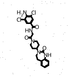 Nc1c(Cl)cc(C(=O)NCC(=O)N2CCC(N3CCc4ccccc4NC3=O)CC2)cc1Cl